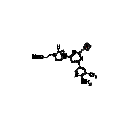 COCCN1CC2C[C@H]1CN2c1cc(-c2cnc(N)c(C(F)(F)F)c2)nc(N2CC3CC2C3)n1